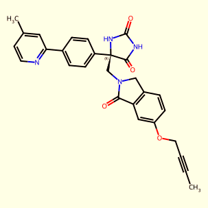 CC#CCOc1ccc2c(c1)C(=O)N(C[C@@]1(c3ccc(-c4cc(C)ccn4)cc3)NC(=O)NC1=O)C2